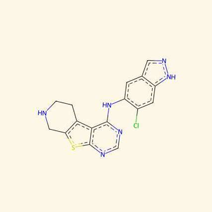 Clc1cc2[nH]ncc2cc1Nc1ncnc2sc3c(c12)CCNC3